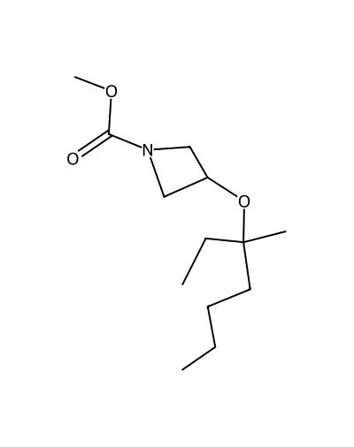 CCCCC(C)(CC)OC1CN(C(=O)OC)C1